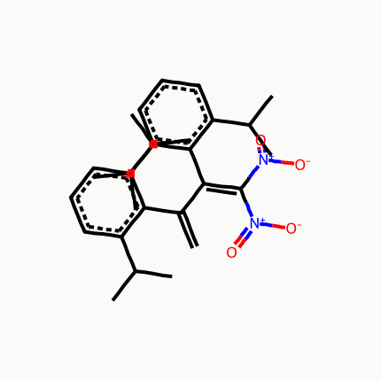 C=C(C(=C([N+](=O)[O-])[N+](=O)[O-])c1c(C(C)C)cccc1C(C)C)c1c(C(C)C)cccc1C(C)C